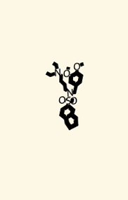 CCN(CC)CCCCN(Cc1ccc(OC)c(OC)c1)S(=O)(=O)c1ccc2ccccc2c1